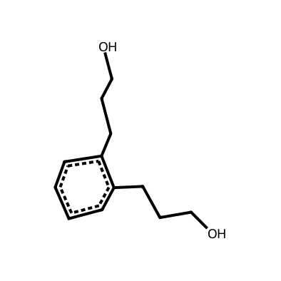 OCCCc1ccccc1CCCO